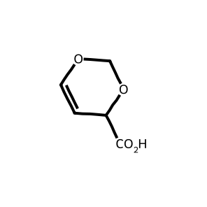 O=C(O)C1C=COCO1